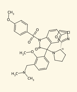 COc1ccc(S(=O)(=O)N2C(=O)C(c3cccc(CN(C)C)c3OC)(N3CCC[C@H]3c3ncco3)c3cc(Cl)ccc32)cc1